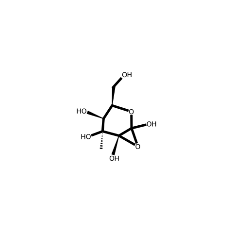 C[C@]1(O)[C@@H](O)[C@@H](CO)OC2(O)O[C@@]21O